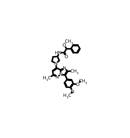 COc1ccc(-c2c(C)nc3c(N4CCC(NC(=O)C(OC)c5ccccc5)C4)cc(C)nn23)cc1OC